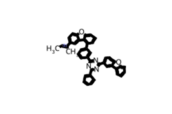 C/C=C(\C)c1ccc2oc3cccc(-c4cccc(-c5nc(-c6ccccc6)nc(-c6ccc7oc8ccccc8c7c6)n5)c4)c3c2c1